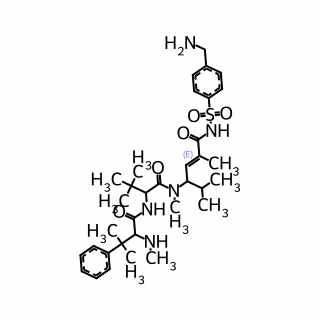 CNC(C(=O)NC(C(=O)N(C)C(/C=C(\C)C(=O)NS(=O)(=O)c1ccc(CN)cc1)C(C)C)C(C)(C)C)C(C)(C)c1ccccc1